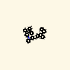 c1ccc([Si](c2ccccc2)(c2ccccc2)c2cccc(-n3c4ccccc4c4cc(Cc5ccc6c(c5)-c5ccccc5C(c5cccc7ccccc57)C6)ccc43)c2)cc1